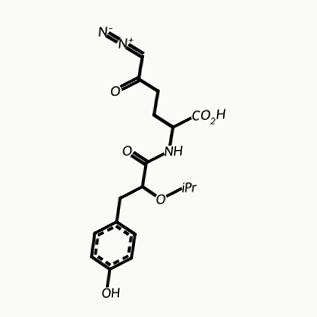 CC(C)OC(Cc1ccc(O)cc1)C(=O)NC(CCC(=O)C=[N+]=[N-])C(=O)O